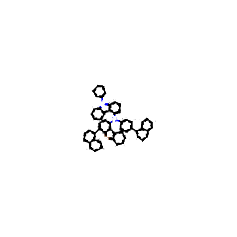 c1ccc(-n2c3ccccc3c3c(N(c4ccc(-c5cccc6ccccc56)cc4)c4ccc(-c5cccc6ccccc56)c5sc6ccccc6c45)cccc32)cc1